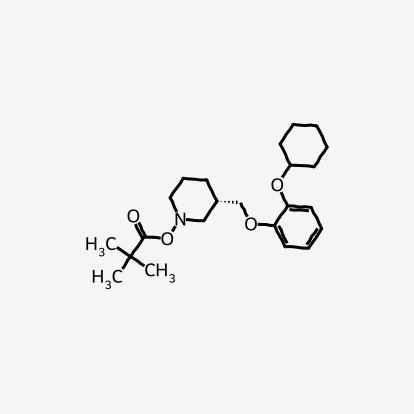 CC(C)(C)C(=O)ON1CCC[C@H](COc2ccccc2OC2CCCCC2)C1